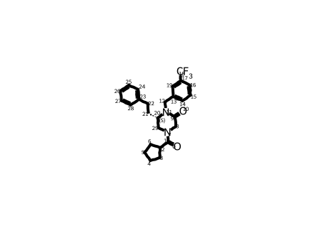 O=C(C1CCCC1)N1CC(=O)N(Cc2cccc(C(F)(F)F)c2)[C@@H](CCc2ccccc2)C1